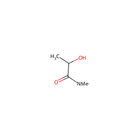 C[N]C(=O)C(C)O